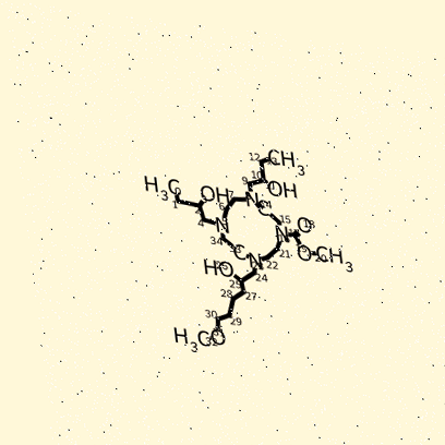 CCC(O)CN1CCN(CC(O)CC)CCN(C(=O)OC)CCN(CC(O)CCCCOC)CC1